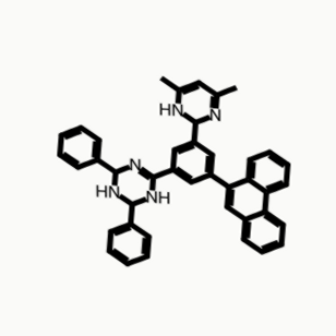 CC1=CC(C)=NC(c2cc(C3=NC(c4ccccc4)NC(c4ccccc4)N3)cc(-c3cc4ccccc4c4ccccc34)c2)N1